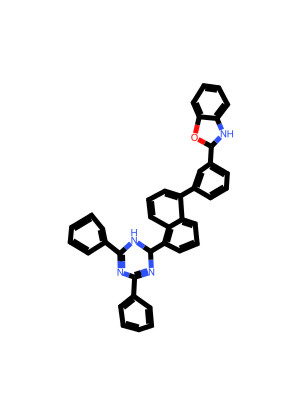 c1ccc(C2=NC(c3cccc4c(-c5cccc(C6Nc7ccccc7O6)c5)cccc34)NC(c3ccccc3)=N2)cc1